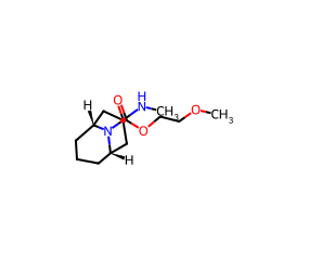 CNC1C[C@H]2CCC[C@@H](C1)N2C(=O)OCCOC